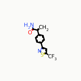 C=C(C(N)=O)c1ccc(-c2cc(C(F)(F)F)sn2)cc1